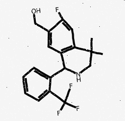 CC1(C)CNC(c2ccccc2C(F)(F)F)c2cc(CO)c(F)cc21